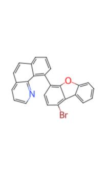 Brc1ccc(-c2cccc3ccc4cccnc4c23)c2oc3ccccc3c12